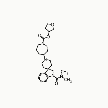 CN(C)C(=O)N1CC2(CCN(C3CCCN(C(=O)O[C@H]4CCOC4)CC3)CC2)c2ccccc21